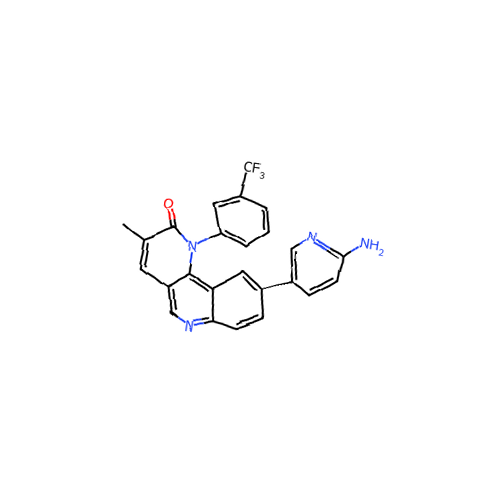 Cc1cc2cnc3ccc(-c4ccc(N)nc4)cc3c2n(-c2cccc(C(F)(F)F)c2)c1=O